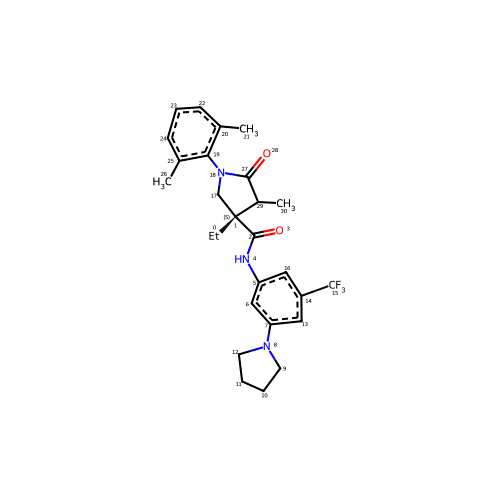 CC[C@@]1(C(=O)Nc2cc(N3CCCC3)cc(C(F)(F)F)c2)CN(c2c(C)cccc2C)C(=O)C1C